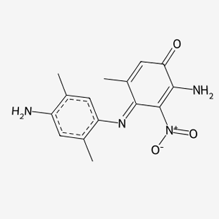 CC1=CC(=O)C(N)=C([N+](=O)[O-])C1=Nc1cc(C)c(N)cc1C